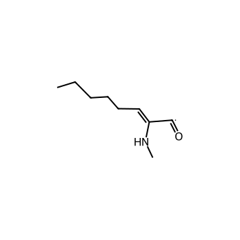 CCCCCC=C([C]=O)NC